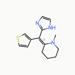 CN1CCCC/C1=C(\c1ccsc1)c1ncc[nH]1